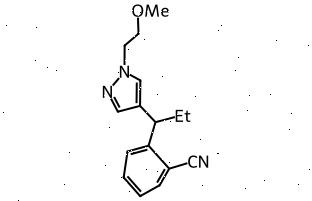 CCC(c1cnn(CCOC)c1)c1ccccc1C#N